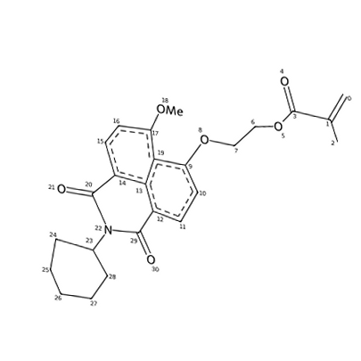 C=C(C)C(=O)OCCOc1ccc2c3c(ccc(OC)c13)C(=O)N(C1CCCCC1)C2=O